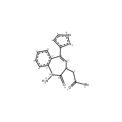 CC(C)(C)C(=O)CC1N=C(c2cc[nH]n2)c2ccccc2N(N)C1=O